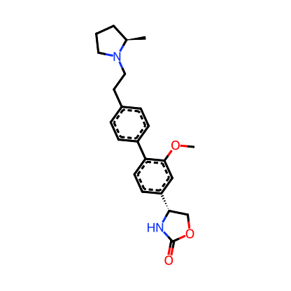 COc1cc([C@@H]2COC(=O)N2)ccc1-c1ccc(CCN2CCC[C@H]2C)cc1